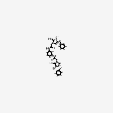 CCN1C(=N)N(CC(=O)Nc2cccc(NC(=O)CN3C[C@H](Cc4ccccc4)N(CC)C3=N)c2)C[C@@H]1Cc1ccccc1